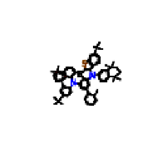 Cc1ccccc1-c1cc2c3c(c1)N(c1ccc4c(c1)C(C)(C)CCC4(C)C)c1c(sc4cc(C(C)(C)C)ccc14)B3c1ccc(C(C)(C)C)cc1N2c1ccc(C(C)(C)C)cc1-c1ccccc1